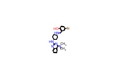 CN(C)c1nc(N[C@H]2CC[C@@H](NCc3cc(Br)ccc3O)CC2)nc2ccccc12